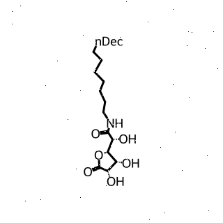 CCCCCCCCCCCCCCCCCNC(=O)[C@H](O)[C@H]1OC(=O)[C@@H](O)[C@H]1O